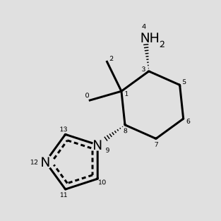 CC1(C)[C@H](N)CCC[C@@H]1n1ccnc1